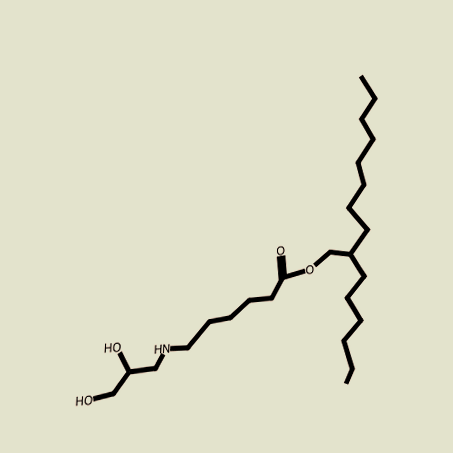 CCCCCCCCC(CCCCCC)COC(=O)CCCCCNCC(O)CO